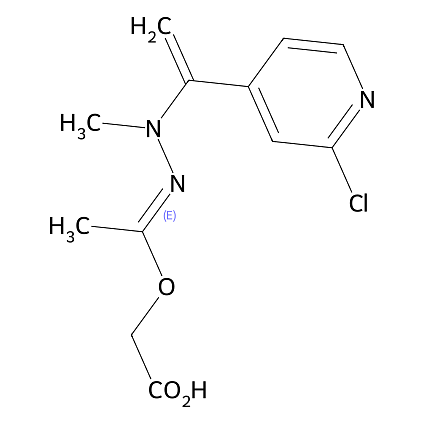 C=C(c1ccnc(Cl)c1)N(C)/N=C(\C)OCC(=O)O